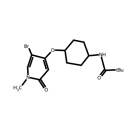 Cn1cc(Br)c(OC2CCC(NC(=O)C(C)(C)C)CC2)cc1=O